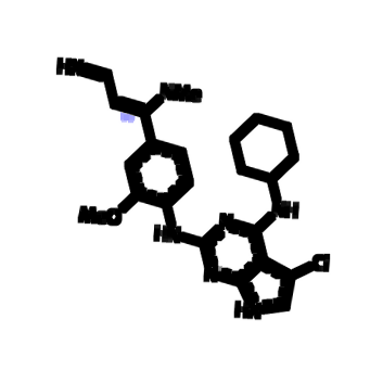 CN/C(=C\C=N)c1ccc(Nc2nc(NC3CCCCC3)c3c(Cl)c[nH]c3n2)c(OC)c1